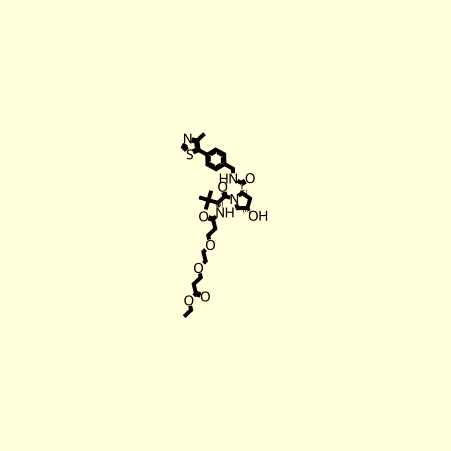 CCOC(=O)CCOCCOCCC(=O)N[C@H](C(=O)N1C[C@H](O)C[C@H]1C(=O)NCc1ccc(-c2scnc2C)cc1)C(C)(C)C